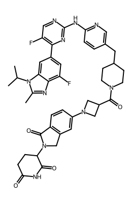 Cc1nc2c(F)cc(-c3nc(Nc4ccc(CC5CCN(C(=O)C6CN(c7ccc8c(c7)CN(C7CCC(=O)NC7=O)C8=O)C6)CC5)cn4)ncc3F)cc2n1C(C)C